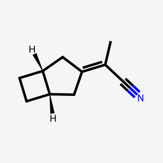 C/C(C#N)=C1\C[C@H]2CC[C@H]2C1